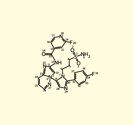 NS(=O)(=O)CCCn1c([N+]23C=C(NC(=O)c4ccnc(F)c4)N=C2C=CC=N3)cnc1-c1ccc(F)cc1